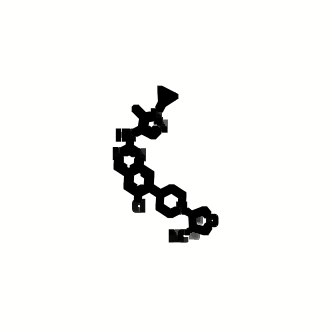 Cc1c(Nc2ncc3cc(Cl)c(C4CCN([C@H]5COC[C@@H]5C#N)CC4)cc3n2)cnn1C1CC1